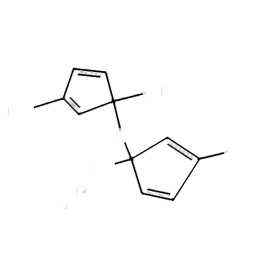 CC1=C[C](C)([Zr+2][C]2(C)C=CC(C)=C2)C=C1.[Br-].[Br-]